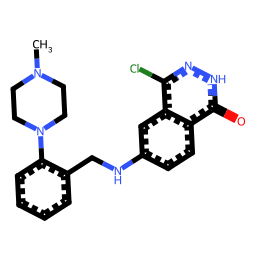 CN1CCN(c2ccccc2CNc2ccc3c(=O)[nH]nc(Cl)c3c2)CC1